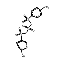 Nc1ccc(S(=O)(=O)OS(=O)(=O)OS(=O)(=O)c2ccc(N)cc2)cc1